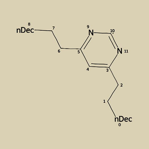 CCCCCCCCCCCCc1cc(CCCCCCCCCCCC)n[c]n1